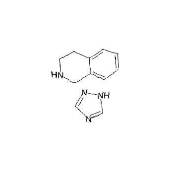 c1ccc2c(c1)CCNC2.c1nc[nH]n1